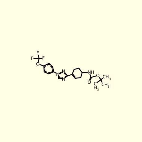 CC(C)(C)OC(=O)NC1CC=C(c2ncn(-c3ccc(OC(F)(F)F)cc3)n2)CC1